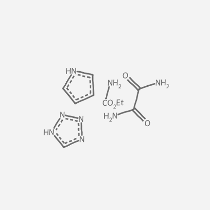 CCOC(N)=O.NC(=O)C(N)=O.c1cc[nH]c1.c1nnn[nH]1